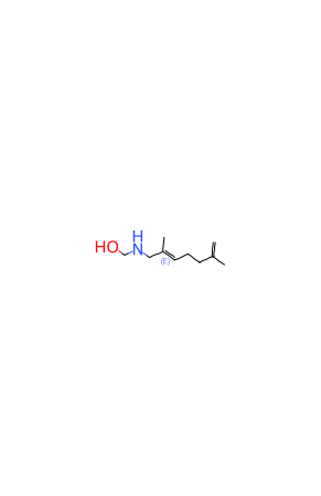 C=C(C)CC/C=C(\C)CNCO